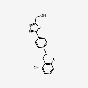 OCc1nnc(-c2ccc(OCc3c(Cl)cccc3C(F)(F)F)cc2)o1